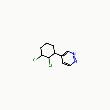 ClC1CCCC(c2ccnnc2)C1Cl